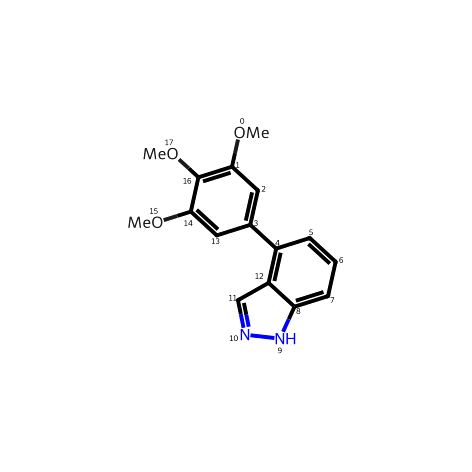 COc1cc(-c2cccc3[nH]ncc23)cc(OC)c1OC